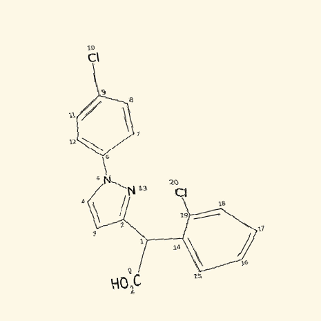 O=C(O)C(c1ccn(-c2ccc(Cl)cc2)n1)c1ccccc1Cl